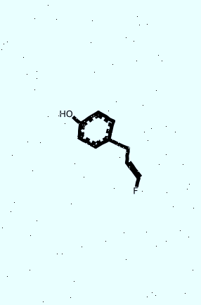 Oc1ccc(CC=CF)cc1